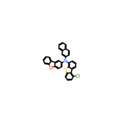 Clc1cccc2sc3c(N(c4ccc5ccccc5c4)c4ccc5oc6ccccc6c5c4)cccc3c12